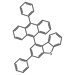 c1ccc(-c2cc(-c3c4ccccc4c(-c4ccccc4)c4ccccc34)c3c(c2)sc2ccccc23)cc1